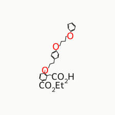 CCOC(=O)c1ccc(OCCCc2ccc(OCCCCOc3ccccc3)cc2)c(CC(=O)O)c1